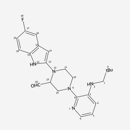 CC(C)(C)CNc1cccnc1N1CCN(c2cc3cc(F)ccc3[nH]2)C(C=O)C1